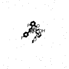 CCOCn1ccnc1C[C@H](CO)NC(=O)c1cccc(F)c1-c1cc(-c2ccc(F)cc2)[nH]n1